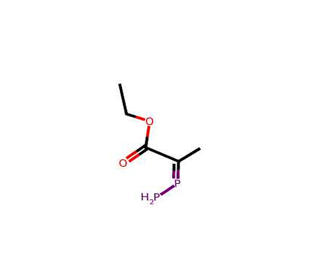 CCOC(=O)/C(C)=P\P